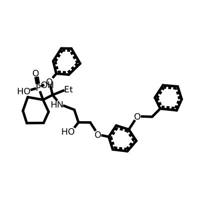 CCC(NCC(O)COc1cccc(OCc2ccccc2)c1)(Oc1ccccc1)C1(P(=O)(O)O)CCCCC1